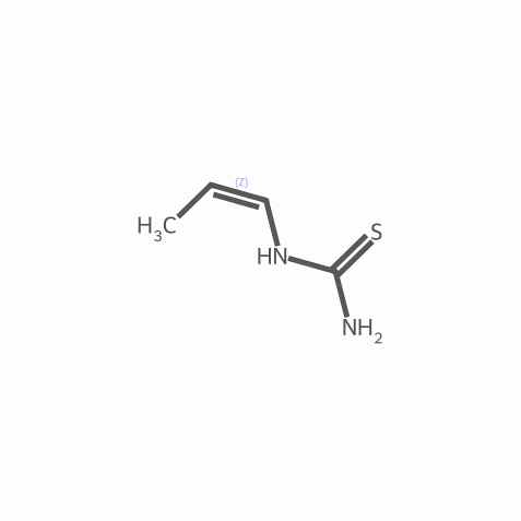 C/C=C\NC(N)=S